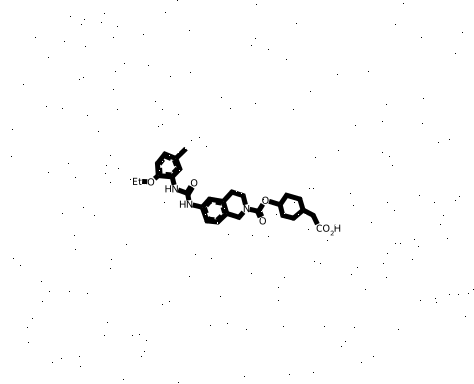 CCOc1ccc(C)cc1NC(=O)Nc1ccc2c(c1)CCN(C(=O)OC1CCC(CC(=O)O)CC1)C2